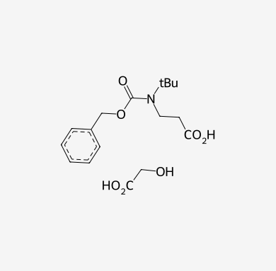 CC(C)(C)N(CCC(=O)O)C(=O)OCc1ccccc1.O=C(O)CO